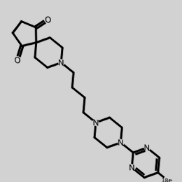 O=C1CCC(=O)C12CCN(CCCCN1CCN(c3ncc([18F])cn3)CC1)CC2